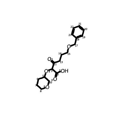 O=C(O)C(OC1CCCOC1)C(=O)CCCOCc1ccccc1